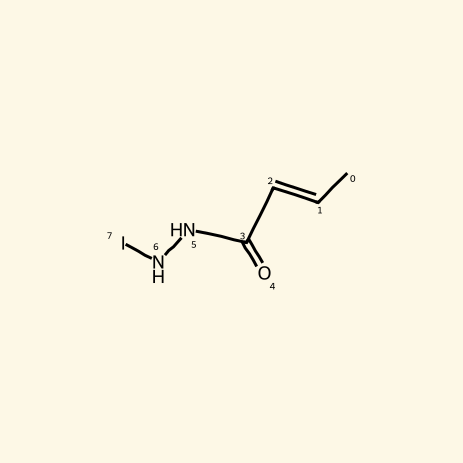 C/C=C/C(=O)NNI